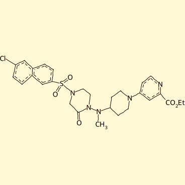 CCOC(=O)c1cc(N2CCC(N(C)N3CCN(S(=O)(=O)c4ccc5cc(Cl)ccc5c4)CC3=O)CC2)ccn1